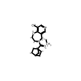 CC[C@H]1c2cncc(Cl)c2OCCN1C(=O)C12CCC(CC1)C2